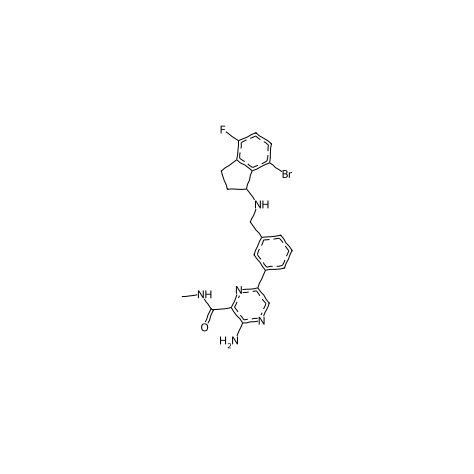 CNC(=O)c1nc(-c2cccc(CNC3CCc4c(F)ccc(Br)c43)c2)cnc1N